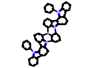 c1ccc(-n2c3ccccc3c3ccc4c(c5cccc6c5n4-c4cccc5c4B6c4cccc6c7c(ccc8c9ccccc9n(-c9ccccc9)c87)n-5c46)c32)cc1